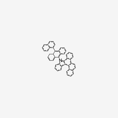 C1=CCC2C(=C1)C(n1c3ccccc3c3c4c5ccccc5ccc4c4ccccc4c31)=c1ccccc1=C2c1cccc2ccccc12